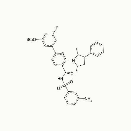 CC(C)COc1cc(F)cc(-c2ccc(C(=O)NS(=O)(=O)c3cccc(N)c3)c(N3C(C)CC(c4ccccc4)C3C)n2)c1